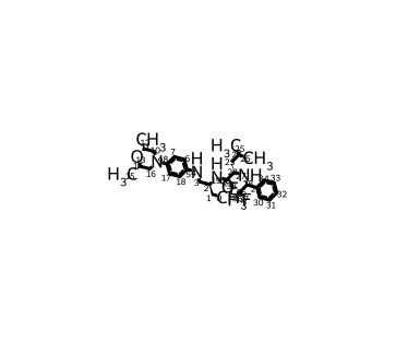 CC[C@@H](CNc1ccc(N2C[C@@H](C)O[C@@H](C)C2)cc1)NC(=O)[C@H](CC(C)C)N[C@@H](c1ccccc1)C(F)(F)F